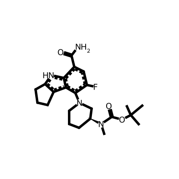 CN(C(=O)OC(C)(C)C)[C@H]1CCCN(c2c(F)cc(C(N)=O)c3[nH]c4c(c23)CCC4)C1